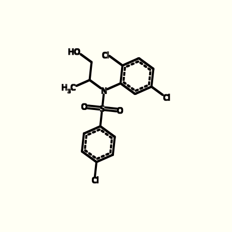 CC(CO)N(c1cc(Cl)ccc1Cl)S(=O)(=O)c1ccc(Cl)cc1